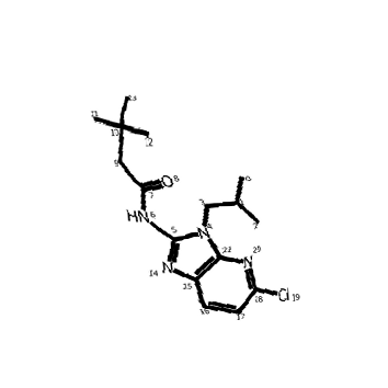 CC(C)Cn1c(NC(=O)CC(C)(C)C)nc2ccc(Cl)nc21